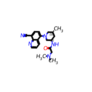 C[C@H]1C[C@@H](NC(=O)CN(C)C)CN(c2ccc(C#N)c3ncccc23)C1